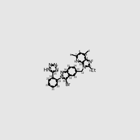 CCc1nc2c(C)cc(C)nc2n1Cc1ccc2nn(-c3ccccc3-c3nnn[nH]3)c(Br)c2c1